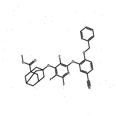 COC(=O)C12CC3CC(CC(Oc4c(F)c(F)nc(Oc5cc(C#N)ccc5OCc5ccccc5)c4F)(C3)C1)C2